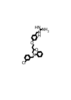 N=C(N)NCc1ccc(OCCC2CN(Cc3cccc(Cl)c3)c3ccccc3O2)cc1